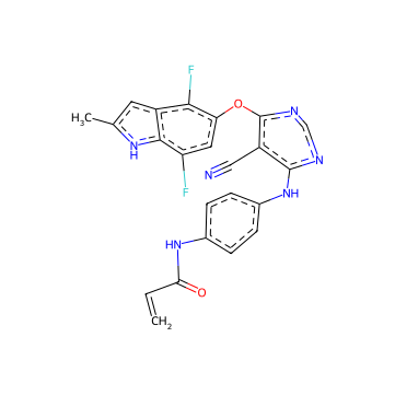 C=CC(=O)Nc1ccc(Nc2ncnc(Oc3cc(F)c4[nH]c(C)cc4c3F)c2C#N)cc1